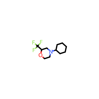 FC(F)(F)C1CN(C2CCCCC2)CCO1